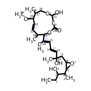 CCC(O)C(C)C1OC1CC(C)(O)/C=C/C=C(\C)C1OC(=O)CC(O)CCC(C)C(OC)/C=C/C1C